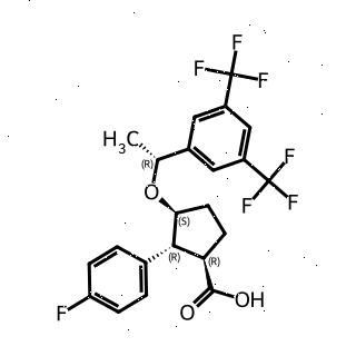 C[C@@H](O[C@H]1CC[C@@H](C(=O)O)[C@@H]1c1ccc(F)cc1)c1cc(C(F)(F)F)cc(C(F)(F)F)c1